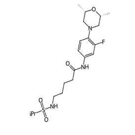 CC(C)S(=O)(=O)NCCCCC(=O)Nc1ccc(N2C[C@@H](C)O[C@@H](C)C2)c(F)c1